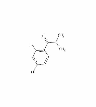 CC(C)C(=O)c1ccc(Cl)cc1F